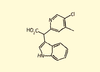 Cc1cc(C(C(=O)O)c2c[nH]c3ccccc23)ncc1Cl